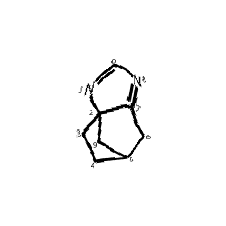 C1=NC23CCC(CC2=N1)C3